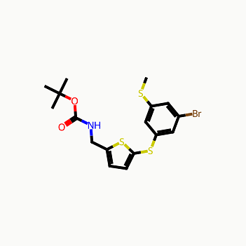 CSc1cc(Br)cc(Sc2ccc(CNC(=O)OC(C)(C)C)s2)c1